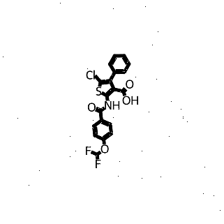 O=C(Nc1sc(Cl)c(-c2ccccc2)c1C(=O)O)c1ccc(OC(F)F)cc1